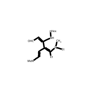 CCCCCCNC(=C/C=O)/C(/C=C/NC)=C(/CC)N(C)CC